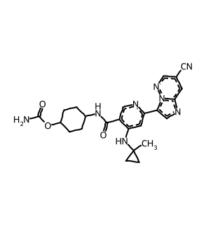 CC1(Nc2cc(-c3cnc4cc(C#N)cnn34)ncc2C(=O)NC2CCC(OC(N)=O)CC2)CC1